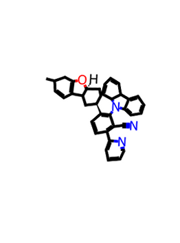 CC1C=CC2=C(C1)O[C@H]1CC[C@@H](c3ccc(-c4ccccn4)c(C#N)c3N3c4ccccc4C4C=CC=CC43)CC21